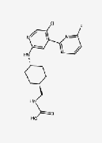 O=C(O)NC[C@H]1CC[C@H](Nc2cc(-c3cccc(F)n3)c(Cl)cn2)CC1